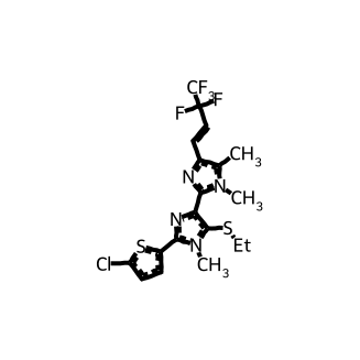 CCSc1c(-c2nc(/C=C/C(F)(F)C(F)(F)F)c(C)n2C)nc(-c2ccc(Cl)s2)n1C